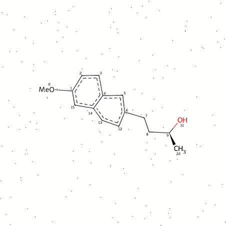 COc1ccc2cc(CC[C@H](C)O)ccc2c1